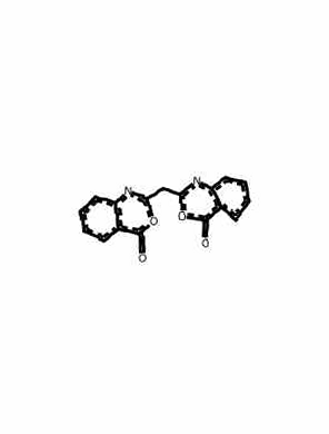 O=c1oc(Cc2nc3ccccc3c(=O)o2)nc2ccccc12